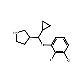 Fc1c(Cl)cccc1OC(C1CC1)[C@H]1CCNC1